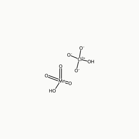 [O-][Cl+3]([O-])([O-])O.[O]=[Mn](=[O])(=[O])[OH]